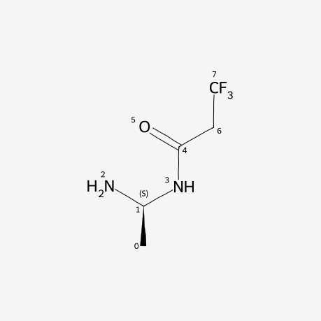 C[C@@H](N)NC(=O)CC(F)(F)F